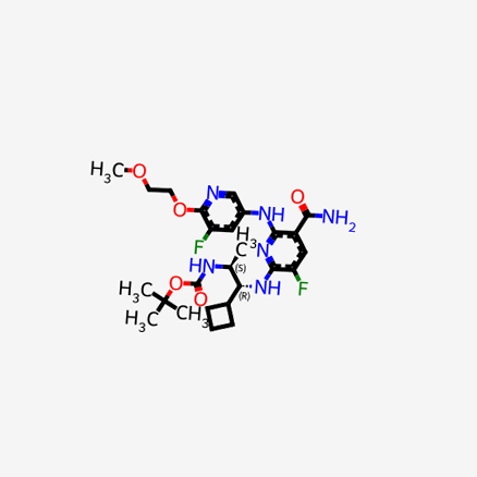 COCCOc1ncc(Nc2nc(N[C@H](C3CCC3)[C@H](C)NC(=O)OC(C)(C)C)c(F)cc2C(N)=O)cc1F